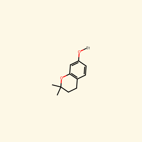 CCOc1ccc2c(c1)OC(C)(C)CC2